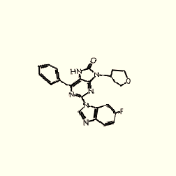 O=c1[nH]c2c(-c3ccccc3)nc(-n3cnc4ccc(F)cc43)nc2n1C1CCOCC1